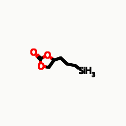 O=C1OCC(CCC[SiH3])O1